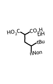 CCCCCCCCCC(CC(C(=O)O)C(=O)O)C(C)(C)C.[LiH]